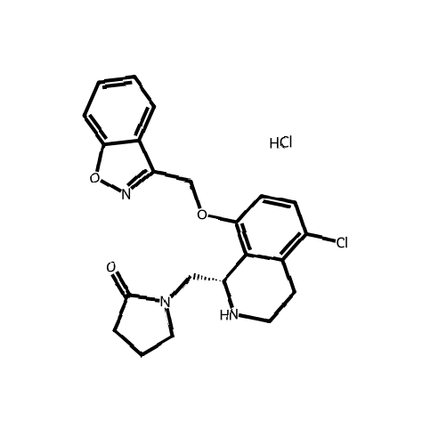 Cl.O=C1CCCN1C[C@H]1NCCc2c(Cl)ccc(OCc3noc4ccccc34)c21